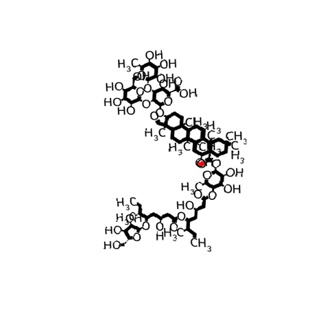 CC[C@@H](C)C(C[C@@H](O)CC(=O)O[C@@H]1[C@H](O)[C@@H](O)[C@H](OC(=O)[C@]23CCC(C)(C)C[C@@]2(C)C2=CCC4[C@@]5(C)CC[C@H](O[C@@H]6O[C@H](C(=O)O)[C@@H](O)[C@H](O[C@@H]7O[C@@H](C)[C@H](O)[C@@H](O)[C@H]7O)[C@H]6O[C@@H]6O[C@H](CO)[C@H](O)[C@H](O)[C@H]6O)[C@@](C)(C=O)C5CC[C@@]4(C)[C@]2(C)C[C@H]3O)O[C@@H]1C)OC(=O)C[C@H](O)CC(O[C@H]1O[C@H](CO)[C@@H](O)[C@@H]1O)[C@H](C)CC